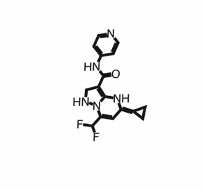 O=C(Nc1ccncc1)C1=C2NC(=C3CC3)C=C(C(F)F)N2NC1